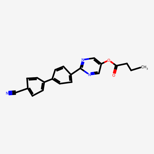 CCCC(=O)Oc1cnc(-c2ccc(-c3ccc(C#N)cc3)cc2)nc1